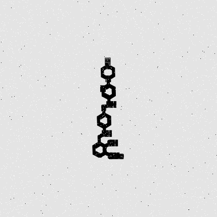 COc1cccc(CNc2ccc(SNc3ccc(N4CCNCC4)nc3)cc2)c1O